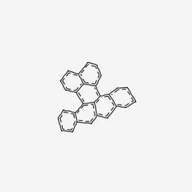 c1ccc2c(c1)cc1cc3ccccc3c3c4cccc5cccc(c54)c2c13